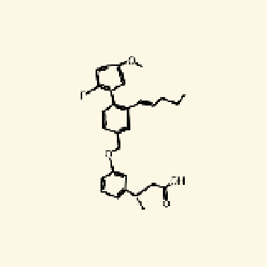 CCC/C=C/c1cc(COc2cccc([C@H](C)CC(=O)O)c2)ccc1-c1cc(OC)ccc1F